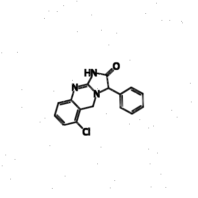 O=C1NC2=Nc3cccc(Cl)c3CN2C1c1ccccc1